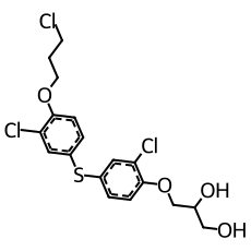 OCC(O)COc1ccc(Sc2ccc(OCCCCl)c(Cl)c2)cc1Cl